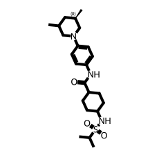 CC1C[C@@H](C)CN(c2ccc(NC(=O)C3CCC(NS(=O)(=O)C(C)C)CC3)cc2)C1